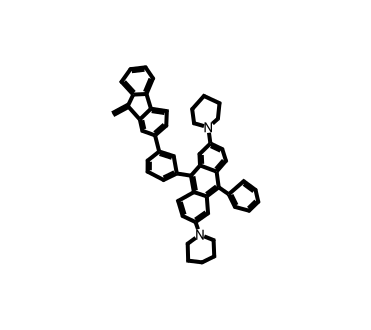 C=C1c2ccccc2-c2ccc(-c3cccc(-c4c5ccc(N6CCCCC6)cc5c(-c5ccccc5)c5ccc(N6CCCCC6)cc45)c3)cc21